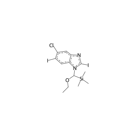 CCOC(n1c(I)nc2cc(Cl)c(I)cc21)[Si](C)(C)C